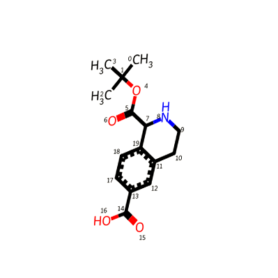 CC(C)(C)OC(=O)C1NCCc2cc(C(=O)O)ccc21